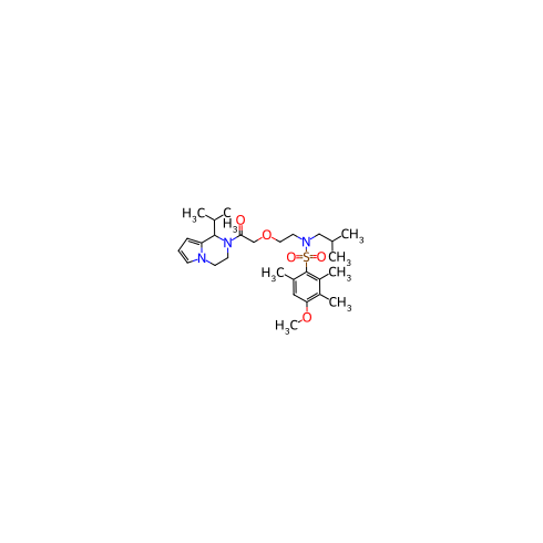 COc1cc(C)c(S(=O)(=O)N(CCOCC(=O)N2CCn3cccc3C2C(C)C)CC(C)C)c(C)c1C